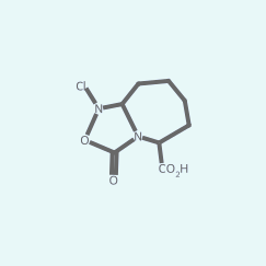 O=C(O)C1CCCCC2N(Cl)OC(=O)N12